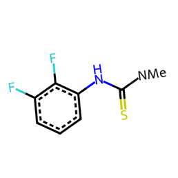 CNC(=S)Nc1cccc(F)c1F